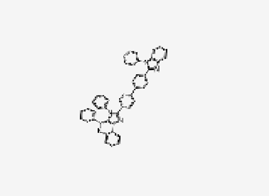 c1ccc(-c2nc3ccccc3c3nc(-c4ccc(-c5ccc(-c6nc7ccccc7n6-c6ccccc6)cc5)cc4)n(-c4ccccc4)c23)cc1